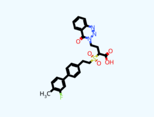 Cc1ccc(-c2ccc(CCS(=O)(=O)C(CCn3nnc4ccccc4c3=O)C(=O)O)cc2)cc1F